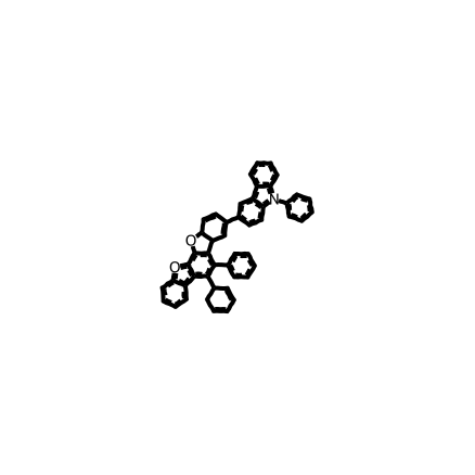 C1=CCC(c2c(-c3ccccc3)c3c(c4oc5ccccc5c24)OC2C=CC(c4ccc5c(c4)c4ccccc4n5-c4ccccc4)=CC32)C=C1